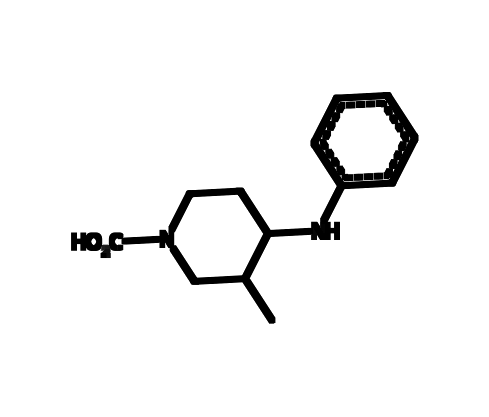 CC1CN(C(=O)O)CCC1Nc1ccccc1